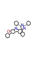 c1ccc(-c2cc(-c3ccccc3-n3c4ccccc4c4cc5c(cc43)oc3ccccc35)nc(-c3ccccc3)n2)cc1